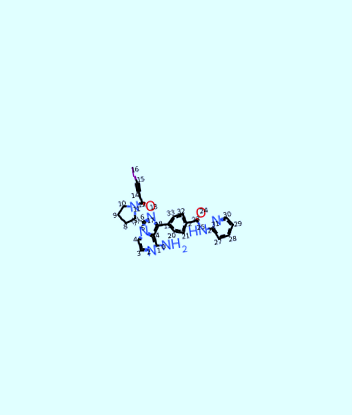 Nc1nccn2c([C@@H]3CCCN3C(=O)C#CI)nc(-c3ccc(C(=O)Nc4ccccn4)cc3)c12